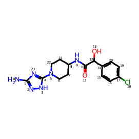 Nc1n[nH]c(N2CCC(NC(=O)C(O)c3ccc(Cl)cc3)CC2)n1